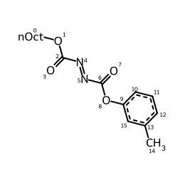 CCCCCCCCOC(=O)/N=N/C(=O)Oc1cccc(C)c1